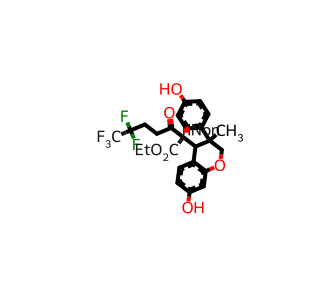 CCCCCCCCCC(C(=O)CCC(F)(F)C(F)(F)F)(C(=O)OCC)C1c2ccc(O)cc2OCC1(C)c1ccc(O)cc1